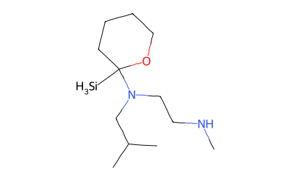 CNCCN(CC(C)C)C1([SiH3])CCCCO1